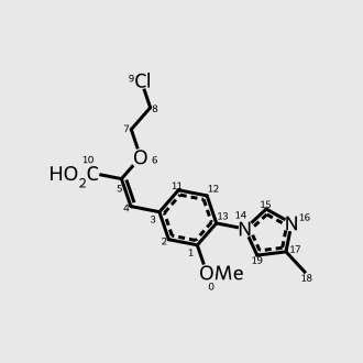 COc1cc(C=C(OCCCl)C(=O)O)ccc1-n1cnc(C)c1